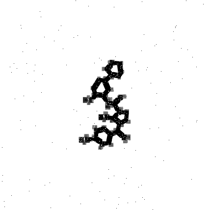 Cc1ccc(-c2cccnc2)cc1NC(=O)N1CCC(C(=N)c2cnc(N)nc2)=C1N